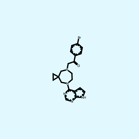 O=C(CN1CCN(c2ncnc3[nH]ccc23)CC2(CC2)C1)c1ccc(Br)cc1